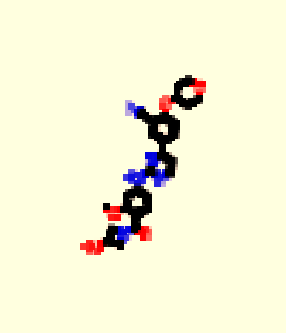 COc1cc(Nc2nccc(-c3ccc(OC4CCOCC4)c(C#N)c3)n2)ccc1C(=O)N1CC(O)C1